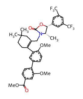 COC(=O)c1ccc(-c2ccc(OC)c(C3=C(CN4C(=O)O[C@H](c5cc(C(F)(F)F)cc(C(F)(F)F)c5)[C@@H]4C)CC(C)(C)CC3)c2)c(OC)c1